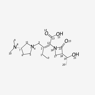 CC/C(CN1CC[C@H](N(C)C)C1)=C(/C(=O)O)N1CC([C@@H](C)O)C1=O